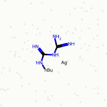 CCCCNC(=N)NC(=N)N.[Ag]